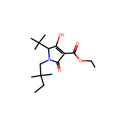 CCOC(=O)C1=C(O)C(C(C)(C)C)N(CC(C)(C)CC)C1=O